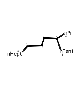 CCCCCCCCCCC(CCC)CCCCC